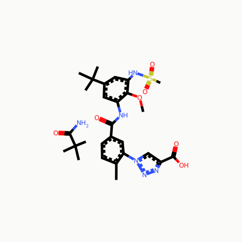 CC(C)(C)C(N)=O.COc1c(NC(=O)c2ccc(C)c(-n3cc(C(=O)O)nn3)c2)cc(C(C)(C)C)cc1NS(C)(=O)=O